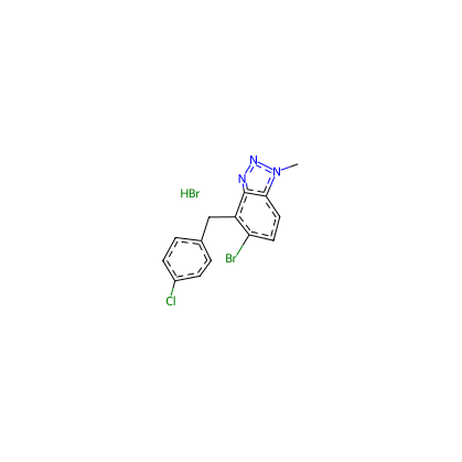 Br.Cn1nnc2c(Cc3ccc(Cl)cc3)c(Br)ccc21